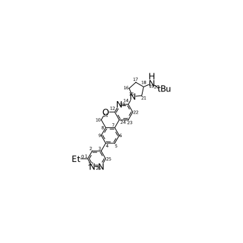 CCc1cc(-c2ccc3c(c2)COc2nc(N4CCC(NC(C)(C)C)C4)ccc2-3)cnn1